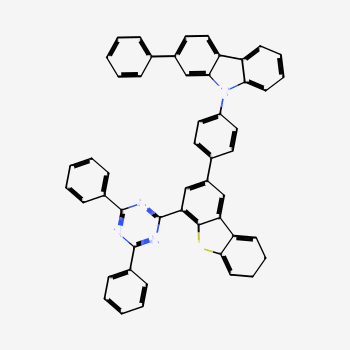 C1=c2sc3c(-c4nc(-c5ccccc5)nc(-c5ccccc5)n4)cc(-c4ccc(-n5c6ccccc6c6ccc(-c7ccccc7)cc65)cc4)cc3c2=CCC1